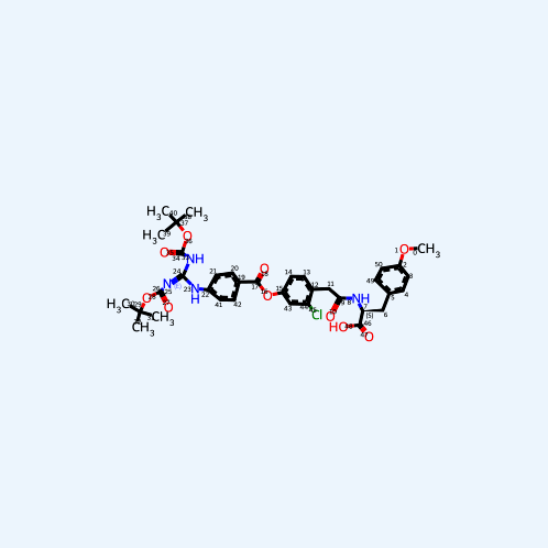 COc1ccc(C[C@H](NC(=O)Cc2ccc(OC(=O)c3ccc(N/C(=N\C(=O)OC(C)(C)C)NC(=O)OC(C)(C)C)cc3)cc2Cl)C(=O)O)cc1